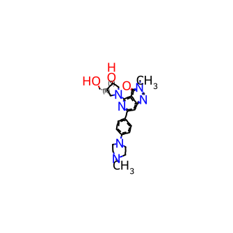 CN1CCN(c2ccc(-c3cc4ncn(C)c(=O)c4c(N4C[C@H](CO)[C@H](O)C4)n3)cc2)CC1